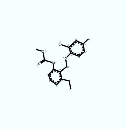 CCc1cccc(NC(=O)OC)c1COc1ccc(C)cc1Cl